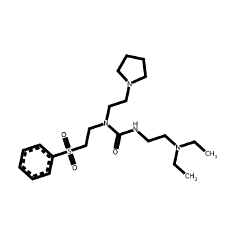 CCN(CC)CCNC(=O)N(CCN1CCCC1)CCS(=O)(=O)c1ccccc1